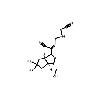 CC1(C)O[C@@H]2[C@@H](CO)OC(C(C#N)=CCNCC#N)[C@@H]2O1